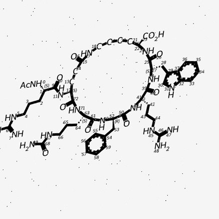 CC(=O)N[C@@H](CCCNC(=N)N)C(=O)N[C@H]1CCC(=O)NCCCC[C@@H](C(=O)O)NC(=O)[C@H](Cc2c[nH]c3ccccc23)NC(=O)[C@H](CCCNC(=N)N)NC(=O)[C@@H](Cc2ccccc2)NC(=O)[C@H](CCCNC(N)=O)NC1=O